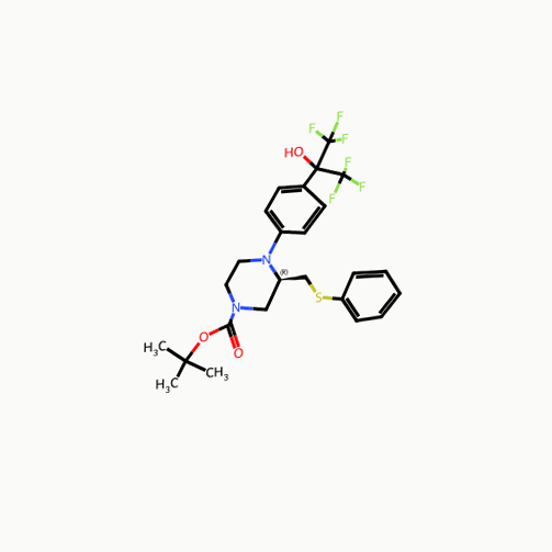 CC(C)(C)OC(=O)N1CCN(c2ccc(C(O)(C(F)(F)F)C(F)(F)F)cc2)[C@@H](CSc2ccccc2)C1